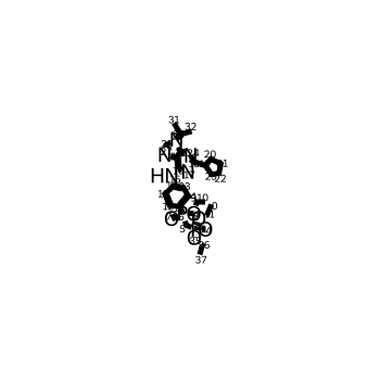 CCOP(=O)(CP(=O)(OCC)c1ccc(Nc2nc(C3CCCC3)nc3c2ncn3C(C)C)cc1)OCC